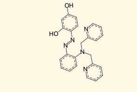 Oc1ccc(/N=N/c2ccccc2N(Cc2ccccn2)Cc2ccccn2)c(O)c1